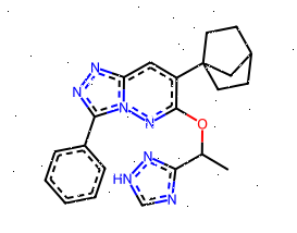 CC(Oc1nn2c(-c3ccccc3)nnc2cc1C12CCC(CC1)C2)c1nc[nH]n1